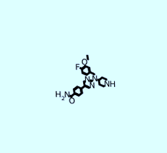 CCOc1cc(CN(c2ncc(-c3ccc(C(N)=O)cc3)cn2)C2CCNCC2)ccc1F